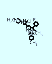 CCc1c(-c2cccc(F)c2)c2cc(-c3cn(C4CCN(C)CC4)nc3Cl)cnc2n1S(=O)(=O)c1ccc(C)cc1